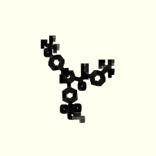 CS(=O)(=O)c1ccc(-c2nn(-c3ccc(OC(F)(F)F)cc3)cc2C(=O)Nc2cccc(C(F)(F)F)c2)cc1